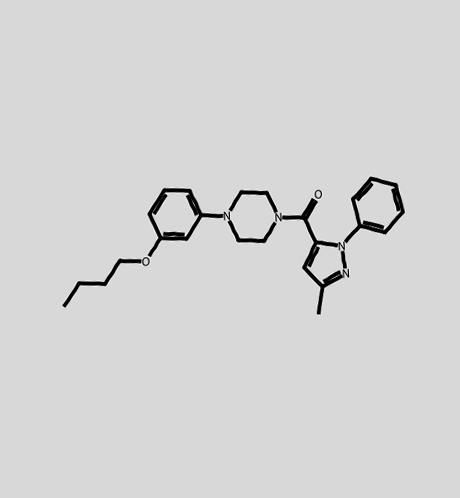 CCCCOc1cccc(N2CCN(C(=O)c3cc(C)nn3-c3ccccc3)CC2)c1